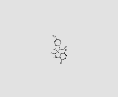 Nc1ccc(C(C=O)C2(O)C(=O)Nc3c(Cl)ccc(Cl)c32)cc1